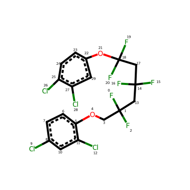 FC(F)(COc1ccc(Cl)cc1Cl)CC(F)(F)CC(F)(F)Oc1ccc(Cl)c(Cl)c1